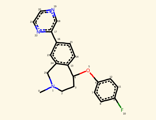 CN1CCC(Oc2ccc(F)cc2)c2ccc(-c3cnccn3)cc2C1